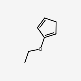 CCOC1=CCC=C1